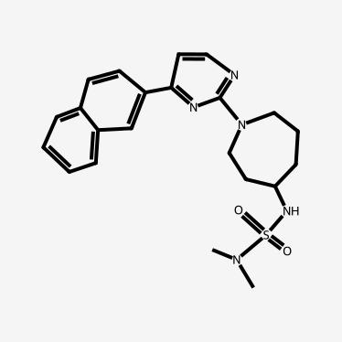 CN(C)S(=O)(=O)NC1CCCN(c2nccc(-c3ccc4ccccc4c3)n2)CC1